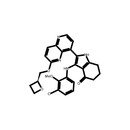 COc1c(Cl)cccc1Nc1c(-c2ccnc3ccc(OC[C@@H]4CCO4)nc23)[nH]c2c1C(=O)CCC2